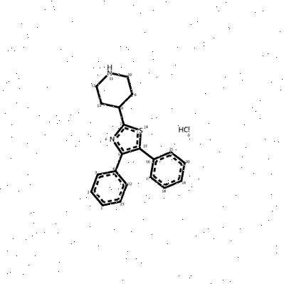 Cl.c1ccc(-c2nc(C3CCNCC3)sc2-c2ccccc2)cc1